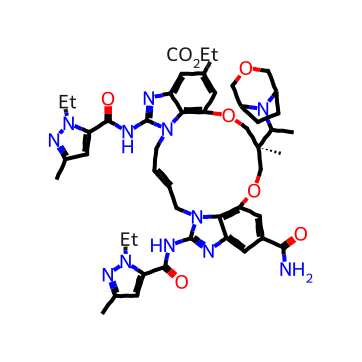 CCOC(=O)c1cc2c3c(c1)nc(NC(=O)c1cc(C)nn1CC)n3C/C=C/Cn1c(NC(=O)c3cc(C)nn3CC)nc3cc(C(N)=O)cc(c31)OC[C@](C)(C(C)N1C3CCC1COC3)CO2